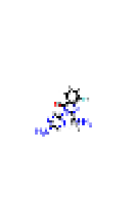 CC(N)c1nc2c(F)cccc2c(=O)n1-c1cnc(N)cn1